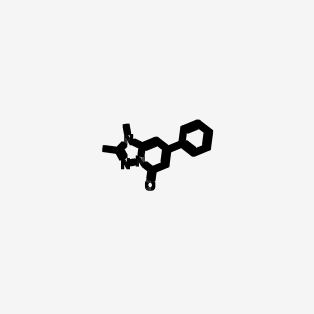 Cc1nn2c(=O)cc(-c3ccccc3)cc2n1C